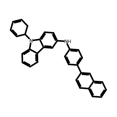 C1=CCC(n2c3ccccc3c3cc(Nc4ccc(-c5ccc6ccccc6c5)cc4)ccc32)C=C1